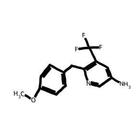 COc1ccc(Cc2ncc(N)cc2C(F)(F)F)cc1